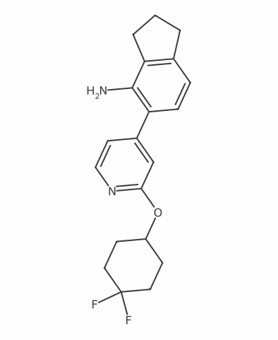 Nc1c(-c2ccnc(OC3CCC(F)(F)CC3)c2)ccc2c1CCC2